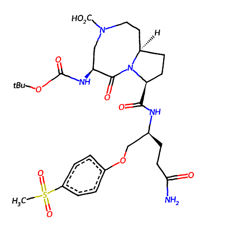 CC(C)(C)OC(=O)N[C@H]1CN(C(=O)O)CC[C@H]2CC[C@@H](C(=O)N[C@@H](CCC(N)=O)COc3ccc(S(C)(=O)=O)cc3)N2C1=O